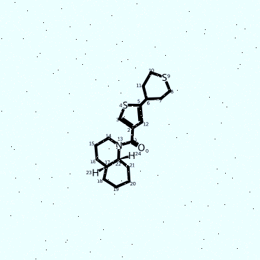 O=C(c1csc(C2CCSCC2)c1)N1CCC[C@H]2CCCC[C@H]21